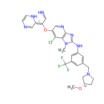 CO[C@H]1CCN(Cc2cc(Nc3nc4ncc(O/C(C=N)=C5\C=NC=CN5)c(Cl)c4n3C)cc(C(F)(F)F)c2)C1